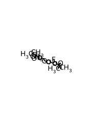 CN(C)C(=O)c1ccc(C2=CCC(OCC3CCN(C(=O)OC(C)(C)C)CC3)CC2)c(F)c1